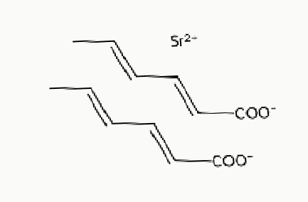 CC=CC=CC(=O)[O-].CC=CC=CC(=O)[O-].[Sr+2]